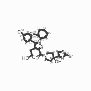 O=C(O)Cc1c(C(=O)N2CCC(O)(c3csc(Br)n3)CC2)nn(-c2ccccc2Cl)c1-c1ccc(Cl)cc1